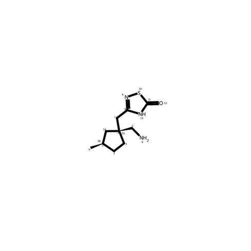 C[C@@H]1CC[C@@](CN)(Cc2nsc(=O)[nH]2)C1